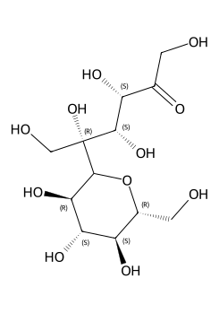 O=C(CO)[C@@H](O)[C@H](O)[C@](O)(CO)C1O[C@H](CO)[C@@H](O)[C@H](O)[C@H]1O